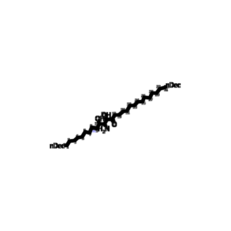 CCCCCCCCCCCCCCCCC/C=C/C(O)C(N)C(O)C(=O)CCCCCCCCCCCCCCCCCCCCCCCC